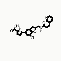 CC(=O)c1ccc(-c2cc(Cl)c3c(c2)CC(CNC(=O)/C=C\c2cccnc2)O3)s1